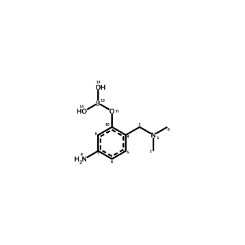 CN(C)Cc1ccc(N)cc1OB(O)O